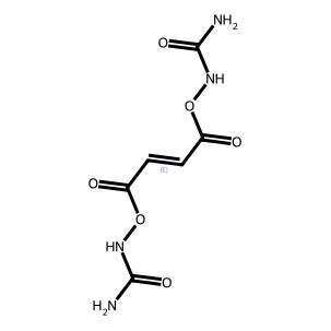 NC(=O)NOC(=O)/C=C/C(=O)ONC(N)=O